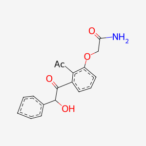 CC(=O)c1c(OCC(N)=O)cccc1C(=O)C(O)c1ccccc1